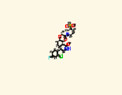 C[C@@H](Oc1ccc2c(-c3ccc(F)cc3Cl)c[nH]c(=O)c2c1)C(=O)N1CCCC(S(C)(=O)=O)C1